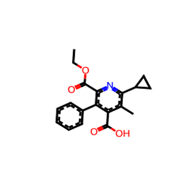 CCOC(=O)c1nc(C2CC2)c(C)c(C(=O)O)c1-c1ccccc1